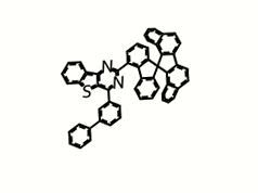 c1ccc(-c2cccc(-c3nc(-c4cccc5c4-c4ccccc4C54c5c(ccc6ccccc56)-c5ccc6ccccc6c54)nc4c3sc3ccccc34)c2)cc1